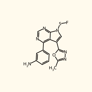 Cc1nnc(-c2cn(SF)c3ncnc(-c4cccc(N)c4)c23)o1